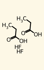 CCC(=O)O.CCC(=O)O.F.F